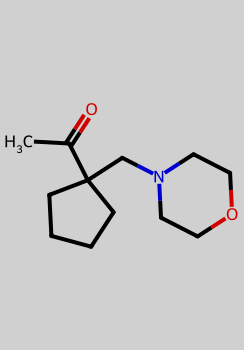 CC(=O)C1(CN2CCOCC2)CCCC1